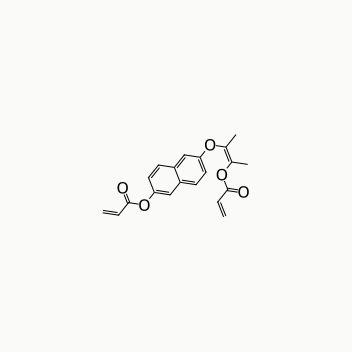 C=CC(=O)OC(C)=C(C)Oc1ccc2cc(OC(=O)C=C)ccc2c1